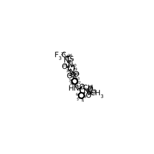 CN(c1ccccc1C(=O)Nc1ccc(S(=O)(=O)N2CCN(c3nc(C(F)(F)F)cs3)C(=O)C2)cc1)S(C)(=O)=O